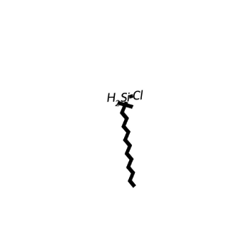 CCCCCCCCCCCCC(C)(C)[SiH2]Cl